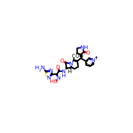 C[n+]1cccc(C(=C2CCNC2=O)C2=C(C(=O)[O-])N3C(=O)[C@@H](NC(=O)C(=NO)c4nsc(N)n4)[C@H]3CC2)c1